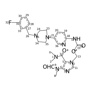 CN(C)C(=O)c1c(N(C)C=O)ncn1COC(=O)Nc1ccc(N2CCN(Cc3cccc(F)c3)CC2)cn1